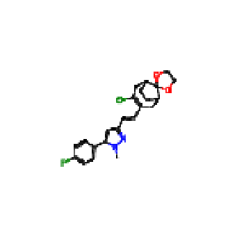 Cn1nc(C=CC2=C(Cl)CC3CCC(C2)C32OCCO2)cc1-c1ccc(F)cc1